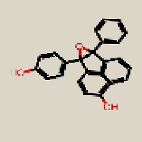 Oc1ccc(C2(c3ccc(O)cc3)OC2(c2ccccc2)c2ccccc2)cc1